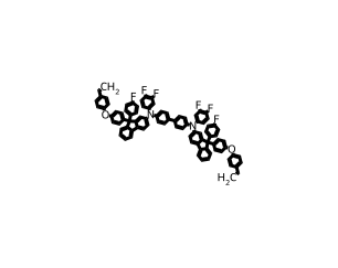 C=Cc1ccc(Oc2ccc(C3(c4ccc(F)cc4)c4ccccc4-c4ccc(N(c5ccc(-c6ccc(N(c7ccc(F)c(F)c7)c7ccc8c(c7)C(c7ccc(F)cc7)(c7ccc(Oc9ccc(C=C)cc9)cc7)c7ccccc7-8)cc6)cc5)c5ccc(F)c(F)c5)cc43)cc2)cc1